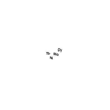 [Dy].[Mo].[Ni].[Tb]